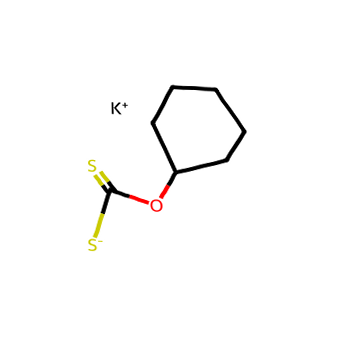 S=C([S-])OC1CCCCC1.[K+]